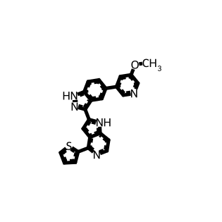 COc1cncc(-c2ccc3[nH]nc(-c4cc5c(-c6cccs6)nccc5[nH]4)c3c2)c1